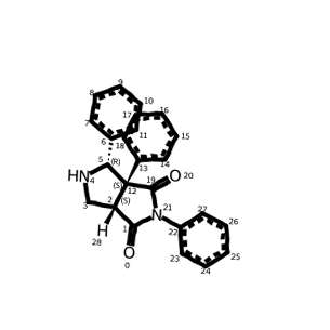 O=C1[C@@H]2CN[C@H](c3ccccc3)[C@]2(c2ccccc2)C(=O)N1c1ccccc1